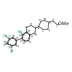 COCCC1CCC(C2CCc3c(ccc(-c4cc(F)c(F)c(F)c4)c3F)C2)CC1